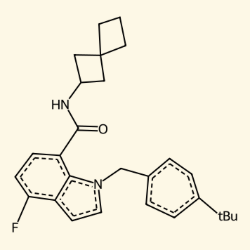 CC(C)(C)c1ccc(Cn2ccc3c(F)ccc(C(=O)NC4CC5(CCC5)C4)c32)cc1